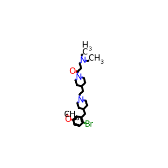 CCN(CC)CCC(=O)N1CCC(CCN2CCC(Cc3cc(OC)ccc3Br)CC2)CC1